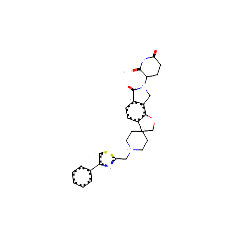 O=C1CCC(N2Cc3c(ccc4c3OCC43CCN(Cc4nc(-c5ccccc5)cs4)CC3)C2=O)C(=O)N1